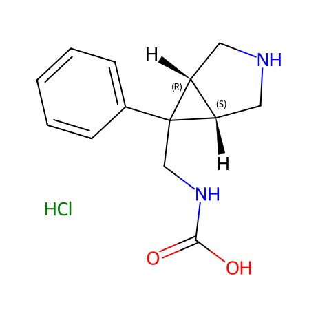 Cl.O=C(O)NCC1(c2ccccc2)[C@@H]2CNC[C@@H]21